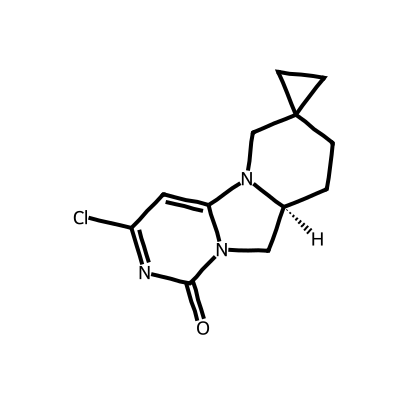 O=c1nc(Cl)cc2n1C[C@@H]1CCC3(CC3)CN21